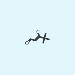 CC(C)(C)/C(Cl)=C/C=O